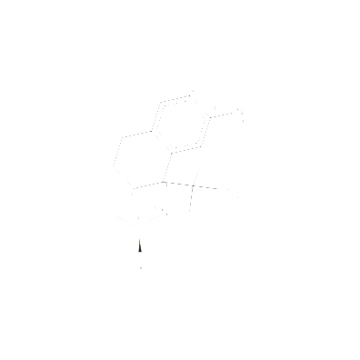 CCOC(=O)C(F)(F)[C@@]1(N[S@+]([O-])C(C)(C)C)CCCc2ccc([N+](=O)[O-])cc21